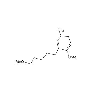 COCCCCCC1=CC(C)CC=C1OC